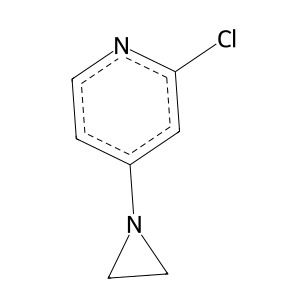 Clc1cc(N2CC2)ccn1